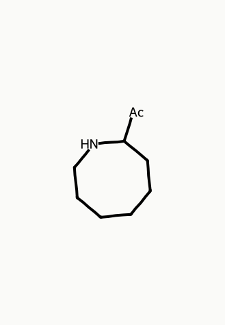 CC(=O)C1CCCCCCN1